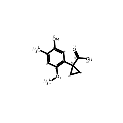 COc1cc(C)c(O)cc1C1(C(=O)O)CC1